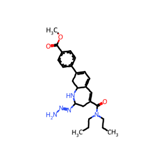 CCCN(CCC)C(=O)C1=CC2=CC=C(c3ccc(C(=O)OC)cc3)CC2NC(N=NN)C1